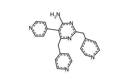 Nc1nc(Cc2ccncc2)nc(Cc2ccncc2)c1-c1ccncc1